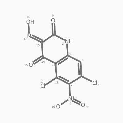 O=C1Nc2cc(Cl)c([N+](=O)[O-])c(Cl)c2C(=O)C1=NO